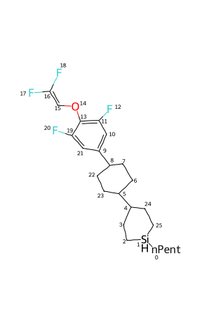 CCCCC[SiH]1CCC(C2CCC(c3cc(F)c(OC=C(F)F)c(F)c3)CC2)CC1